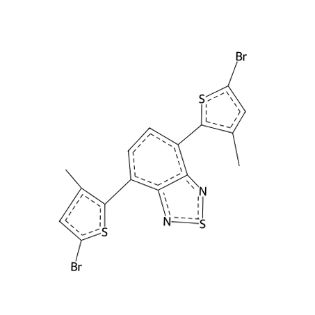 Cc1cc(Br)sc1-c1ccc(-c2sc(Br)cc2C)c2nsnc12